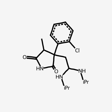 CC(C)NC(CC1(c2ccccc2Cl)C(=O)NC(=O)C1C)NC(C)C